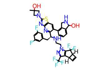 CC1(O)CN(c2nc3nc([C@H](Cc4cc(F)cc(F)c4)NCCn4nc(C(F)(F)F)c5c4C(F)(F)[C@@H]4C=C[C@H]54)c(-c4cccc5c4CNC5O)cc3s2)C1